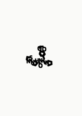 O=C(N[C@@H](Cc1ccc2c(c1)OCCO2)CN1CCCC1)[C@@H]1CCN(c2nccs2)C1